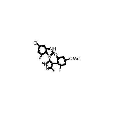 COc1cc(F)c(-c2c(C)nn(C)c2-n2c(=O)[nH]c3cc(Cl)cc(F)c32)c(F)c1